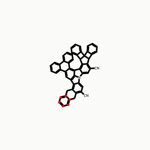 N#Cc1cc2c(c3c1C1c4ccccc4C3c3ccccc31)c1cc3c4ccccc4c4ccccc4c3c3c4c5c(c(C#N)cc4n2c13)C1c2ccccc2C12c1ccccc1C52